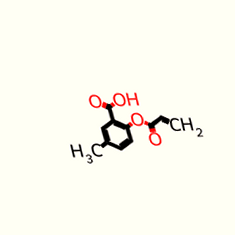 C=CC(=O)Oc1ccc(C)cc1C(=O)O